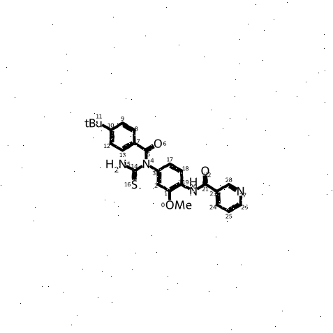 COc1cc(N(C(=O)c2ccc(C(C)(C)C)cc2)C(N)=S)ccc1NC(=O)c1cccnc1